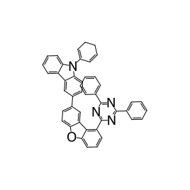 C1=CC(n2c3ccccc3c3cc(-c4ccc5oc6cccc(-c7nc(-c8ccccc8)nc(-c8ccccc8)n7)c6c5c4)ccc32)=CCC1